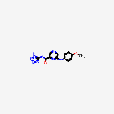 COc1ccc(Nc2cncc(C(=O)Nc3nnn[nH]3)n2)cc1